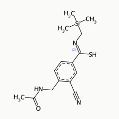 CC(=O)NCc1ccc(/C(S)=N/C[Si](C)(C)C)cc1C#N